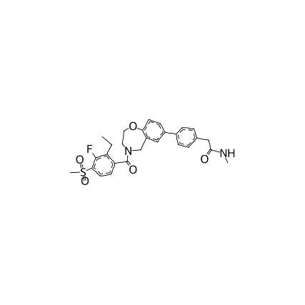 CCc1c(C(=O)N2CCOc3ccc(-c4ccc(CC(=O)NC)cc4)cc3C2)ccc(S(C)(=O)=O)c1F